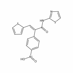 O=C(Nc1nccs1)/C(=C/c1cccs1)c1ccc([N+](=O)O)cc1